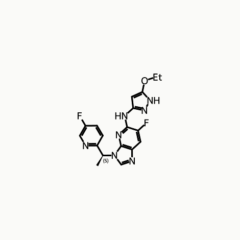 CCOc1cc(Nc2nc3c(cc2F)ncn3[C@@H](C)c2ccc(F)cn2)n[nH]1